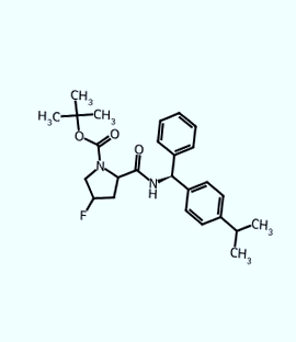 CC(C)c1ccc([C@@H](NC(=O)C2CC(F)CN2C(=O)OC(C)(C)C)c2ccccc2)cc1